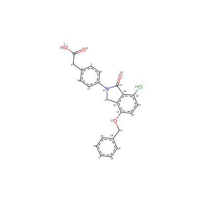 O=C(O)Cc1ccc(N2Cc3c(OCc4ccccc4)ccc(Cl)c3C2=O)cc1